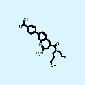 CCCN(CCCO)C(=O)C1=Cc2ccc(-c3ccc(C(=O)O)cc3)cc2N=C(N)C1